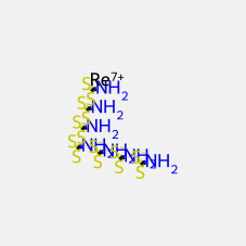 NC(=S)[S-].NC(=S)[S-].NC(=S)[S-].NC(=S)[S-].NC(=S)[S-].NC(=S)[S-].NC(=S)[S-].[Re+7]